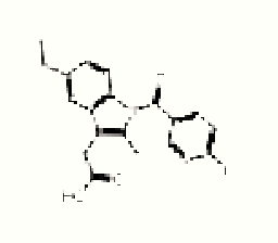 CCc1ccc2c(c1)c(CC(=O)O)c(C)n2C(=O)c1ccc(Cl)cc1